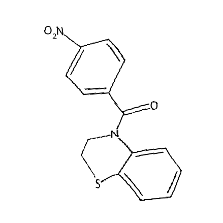 O=C(c1ccc([N+](=O)[O-])cc1)N1CCSc2ccccc21